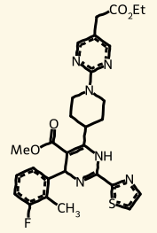 CCOC(=O)Cc1cnc(N2CCC(C3=C(C(=O)OC)C(c4cccc(F)c4C)N=C(c4nccs4)N3)CC2)nc1